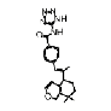 CC(=Cc1ccc(C(=O)Nc2nnn[nH]2)cc1)C1CCC(C)(C)C2=C1C=COC2